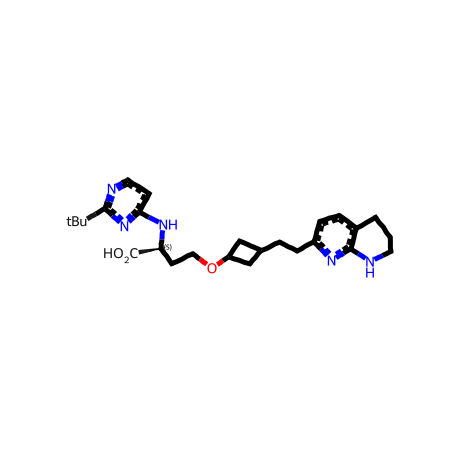 CC(C)(C)c1nccc(N[C@@H](CCOC2CC(CCc3ccc4c(n3)NCCC4)C2)C(=O)O)n1